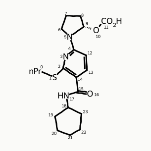 CCCSc1nc(N2CCC[C@@H]2OC(=O)O)ccc1C(=O)NC1CCCCC1